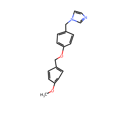 COc1ccc(COc2ccc(Cn3ccnc3)cc2)cc1